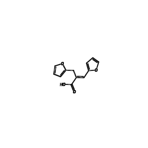 O=C(O)/C(=C/c1ccco1)Cc1ccco1